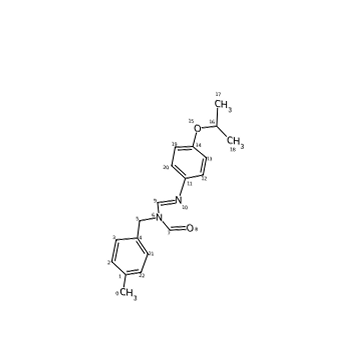 Cc1ccc(CN(C=O)/C=N/c2ccc(OC(C)C)cc2)cc1